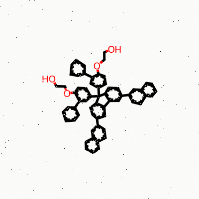 OCCOc1ccc(C2(c3ccc(OCCO)c(-c4ccccc4)c3)c3ccc(-c4ccc5ccccc5c4)cc3-c3cc(-c4ccc5ccccc5c4)ccc32)cc1-c1ccccc1